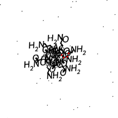 CC(=O)[C@H](CCCN)NC(=O)[C@H](CCC(N)=O)NC(=O)[C@H](CCCN)NC(=O)[C@H](CCC(N)=O)NC(=O)[C@H](CCCN)NC(=O)[C@H](CCC(N)=O)NC(=O)[C@@H](N)CCC(N)=O